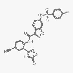 N#Cc1ccc(NC(=O)c2noc3cc(NS(=O)(=O)c4ccc(F)cc4)ccc23)c(-c2noc(=O)[nH]2)c1